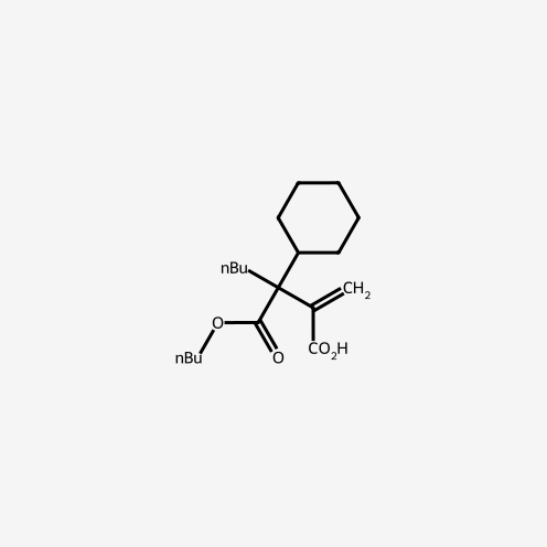 C=C(C(=O)O)C(CCCC)(C(=O)OCCCC)C1CCCCC1